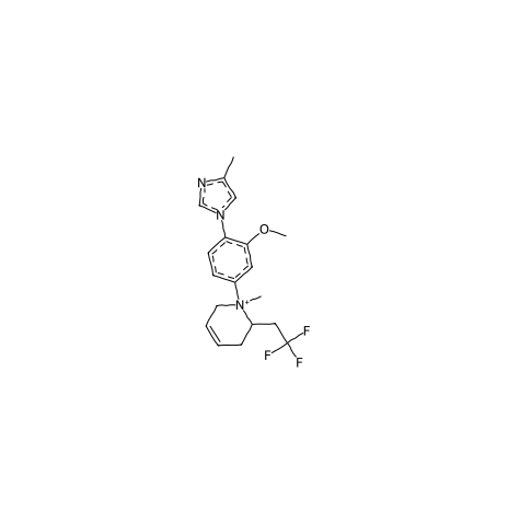 COc1cc([N+]2(C)CC=CCC2CC(F)(F)F)ccc1-n1cnc(C)c1